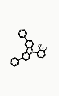 Fc1cccc(-n2c3ccc(-c4ccccc4)cc3c3cc(-c4ccccc4)ccc32)c1C(F)(F)F